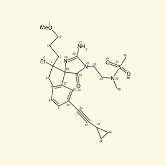 CCC1(CCCOC)Cc2ccc(C#CC3CC3)cc2C12N=C(N)N(CCN(C)S(C)(=O)=O)C2=O